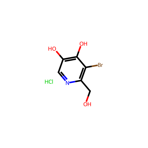 Cl.OCc1ncc(O)c(O)c1Br